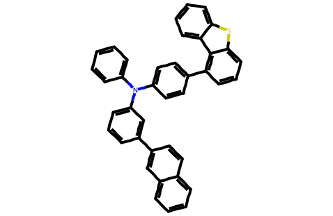 c1ccc(N(c2ccc(-c3cccc4sc5ccccc5c34)cc2)c2cccc(-c3ccc4ccccc4c3)c2)cc1